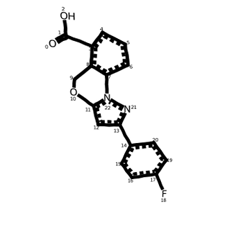 O=C(O)c1cccc2c1COc1cc(-c3ccc(F)cc3)nn1-2